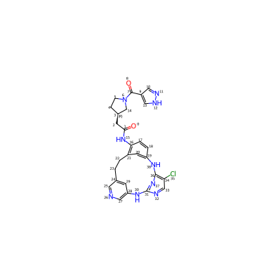 O=C(C[C@H]1CCN(C(=O)c2cn[nH]c2)C1)Nc1ccc2cc1CCc1cncc(c1)Nc1ncc(Cl)c(n1)N2